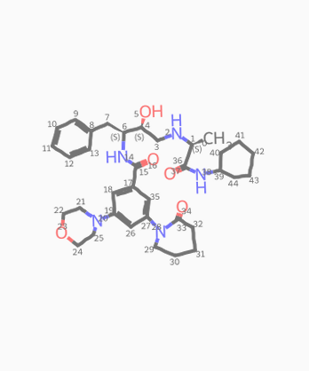 C[C@H](NC[C@H](O)[C@H](Cc1ccccc1)NC(=O)c1cc(N2CCOCC2)cc(N2CCCCC2=O)c1)C(=O)NC1CCCCC1